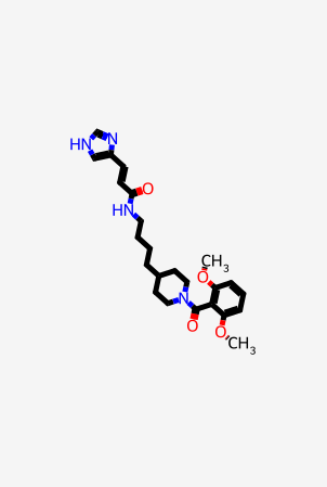 COc1cccc(OC)c1C(=O)N1CCC(CCCCNC(=O)/C=C/c2c[nH]cn2)CC1